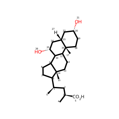 C[C@H](C[C@H](C)C(=O)O)C1CCC2C3C(CC[C@@]21C)[C@@]1(C)CC[C@@H](O)C[C@H]1C[C@H]3O